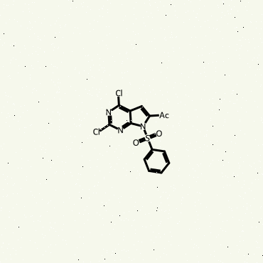 CC(=O)c1cc2c(Cl)nc(Cl)nc2n1S(=O)(=O)c1ccccc1